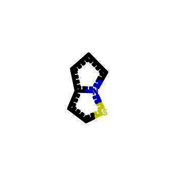 c1cc2ccsn2c1